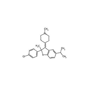 CC(C)c1ccc2c(c1)C(=C1CCN(C)CC1)C(C)(c1ccc(Cl)cc1)S2